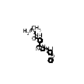 CN(C)CCNC(=O)c1cccc(-c2cnn3ccc(Nc4ccc(Oc5ccccc5)cc4)nc23)c1